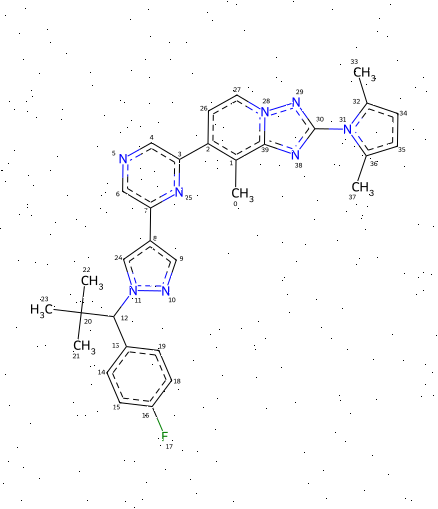 Cc1c(-c2cncc(-c3cnn(C(c4ccc(F)cc4)C(C)(C)C)c3)n2)ccn2nc(-n3c(C)ccc3C)nc12